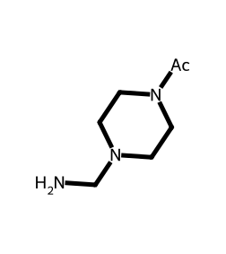 CC(=O)N1CCN(CN)CC1